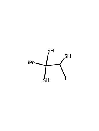 CC(C)C(S)(S)C(S)I